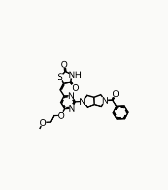 COCCOc1cc(C=C2SC(=O)NC2=O)nc(N2CC3CN(C(=O)c4ccccc4)CC3C2)n1